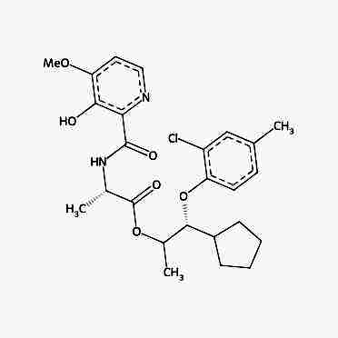 COc1ccnc(C(=O)N[C@@H](C)C(=O)OC(C)[C@H](Oc2ccc(C)cc2Cl)C2CCCC2)c1O